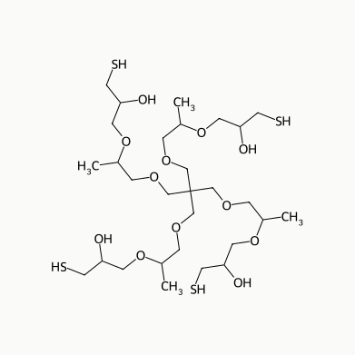 CC(COCC(COCC(C)OCC(O)CS)(COCC(C)OCC(O)CS)COCC(C)OCC(O)CS)OCC(O)CS